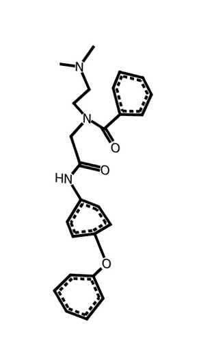 CN(C)CCN(CC(=O)Nc1ccc(Oc2ccccc2)cc1)C(=O)c1ccccc1